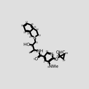 CNc1cc(C(=O)NC(C)C(O)CN2CCc3ccccc3C2)cnc1OC1(C=O)CC1